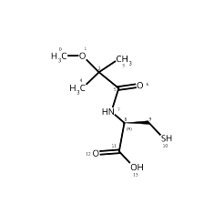 COC(C)(C)C(=O)N[C@@H](CS)C(=O)O